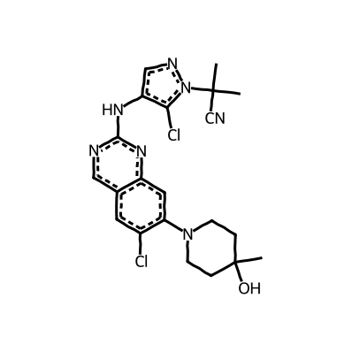 CC1(O)CCN(c2cc3nc(Nc4cnn(C(C)(C)C#N)c4Cl)ncc3cc2Cl)CC1